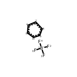 F[B-](F)(F)F.[c]1ccccc1